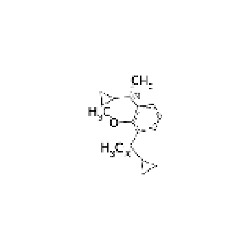 COc1c([C@@H](C)C2CC2)cccc1[C@@H](C)C1CC1